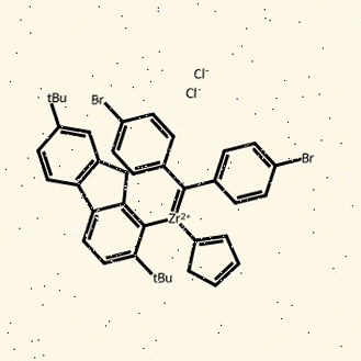 CC(C)(C)c1ccc2c(c1)Cc1c-2ccc(C(C)(C)C)[c]1[Zr+2]([C]1=CC=CC1)=[C](c1ccc(Br)cc1)c1ccc(Br)cc1.[Cl-].[Cl-]